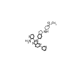 C=CC(=O)N1CCC(N[C@H]2CCc3cc(-n4c(-c5cccnc5N)nc5ccc(-c6cccnc6)nc54)ccc32)CC1